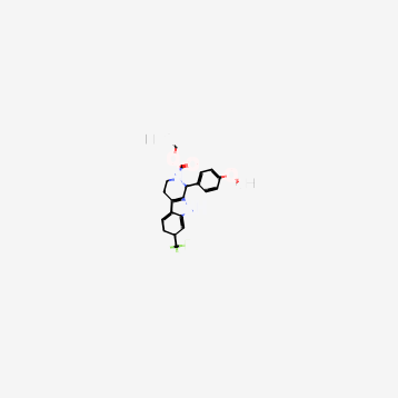 CCOC(=O)N1CCc2c([nH]c3c2=CCC(C(F)(F)F)C=3)C1c1ccc(OC)cc1